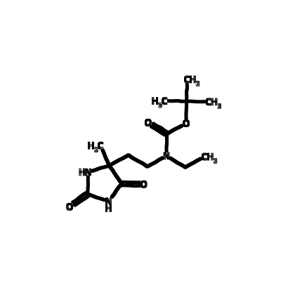 CCN(CCC1(C)NC(=O)NC1=O)C(=O)OC(C)(C)C